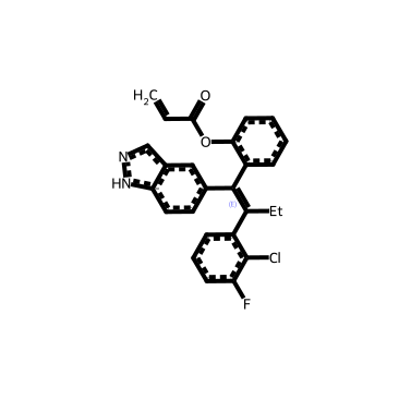 C=CC(=O)Oc1ccccc1/C(=C(\CC)c1cccc(F)c1Cl)c1ccc2[nH]ncc2c1